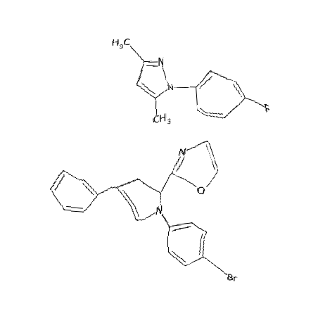 Brc1ccc(N2C=C(c3ccccc3)CC2c2ncco2)cc1.Cc1cc(C)n(-c2ccc(F)cc2)n1